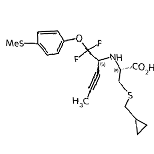 CC#C[C@H](N[C@@H](CSCC1CC1)C(=O)O)C(F)(F)Oc1ccc(SC)cc1